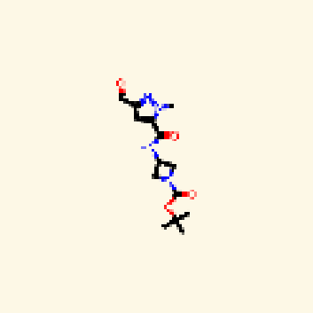 Cn1nc(C=O)cc1C(=O)NC1CN(C(=O)OC(C)(C)C)C1